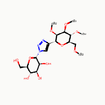 CCCCOC[C@H]1O[C@H](c2cn([C@H]3O[C@H](CO)[C@@H](O)[C@H](O)[C@@H]3O)nn2)[C@@H](OCCCC)[C@@H](OCCCC)[C@@H]1OCCCC